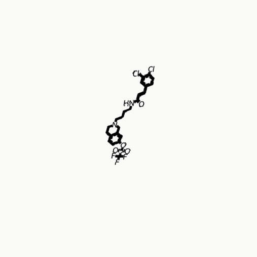 O=C(/C=C/c1ccc(Cl)c(Cl)c1)NCCCCN1CCc2ccc(OS(=O)(=O)C(F)(F)F)cc2C1